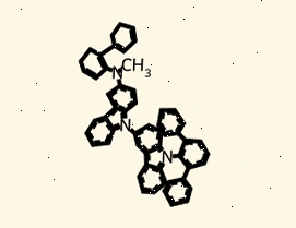 CN(C1=C(C2=CC=CCC2)CCC=C1)c1ccc2c(c1)c1ccccc1n2-c1ccc2c(c1)c1ccccc1n2-c1c(-c2ccccc2)cccc1-c1ccccc1